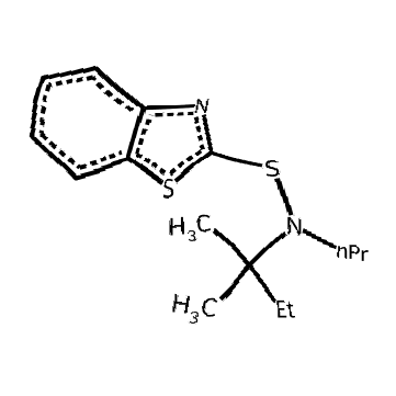 CCCN(Sc1nc2ccccc2s1)C(C)(C)CC